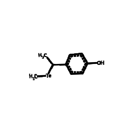 C[Te]C(C)c1ccc(O)cc1